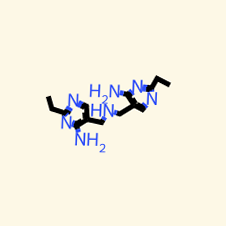 CCc1ncc(CNCc2cnc(CC)nc2N)c(N)n1